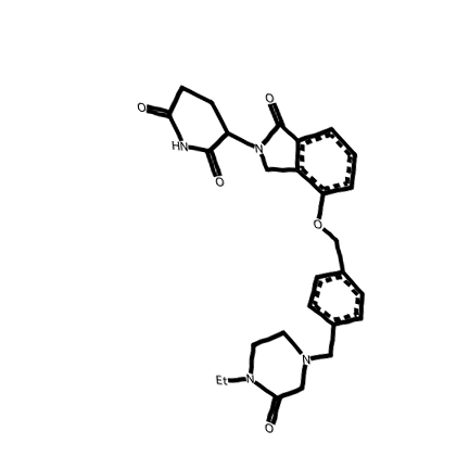 CCN1CCN(Cc2ccc(COc3cccc4c3CN(C3CCC(=O)NC3=O)C4=O)cc2)CC1=O